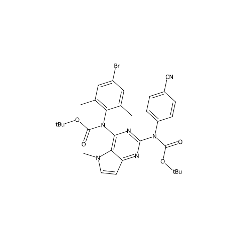 Cc1cc(Br)cc(C)c1N(C(=O)OC(C)(C)C)c1nc(N(C(=O)OC(C)(C)C)c2ccc(C#N)cc2)nc2ccn(C)c12